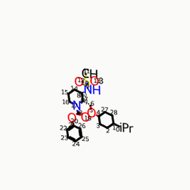 CC(C)C1CCC(OC[C@H]2[C@@H](NS(C)(=O)=O)CCCN2C(=O)Oc2ccccc2)CC1